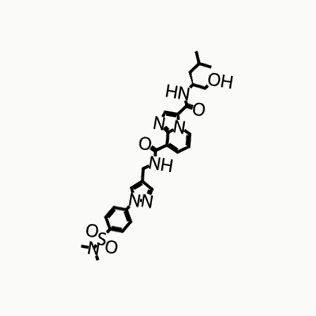 CC(C)C[C@@H](CO)NC(=O)c1cnc2c(C(=O)NCc3cnn(-c4ccc(S(=O)(=O)N(C)C)cc4)c3)cccn12